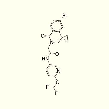 O=C(CN1CC2(CC2)c2cc(Br)ccc2C1=O)Nc1ccc(OC(F)F)nc1